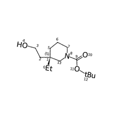 CC[C@@]1(CCO)CCCN(C(=O)OC(C)(C)C)C1